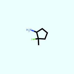 CC1(F)CCCC1N